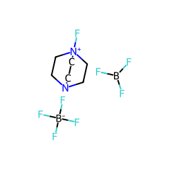 FB(F)F.F[B-](F)(F)F.F[N+]12CCN(CC1)CC2